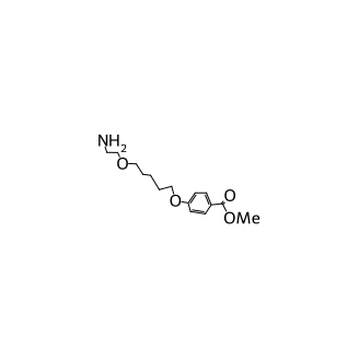 COC(=O)c1ccc(OCCCCCOCCN)cc1